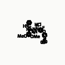 COc1cc(OC)cc(-c2nc(Nc3ccccc3)sc2-c2ccnc(Nc3ccc(OC4CCN(CCS(C)(=O)=O)CC4)c(F)c3)n2)c1.Cl